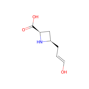 O=C(O)[C@H]1C[C@@H](CC=CO)N1